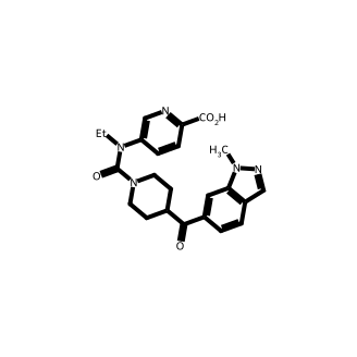 CCN(C(=O)N1CCC(C(=O)c2ccc3cnn(C)c3c2)CC1)c1ccc(C(=O)O)nc1